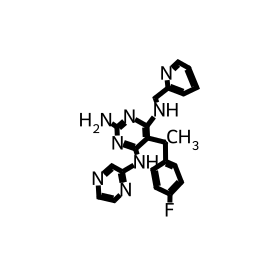 CC(c1ccc(F)cc1)c1c(NCc2ccccn2)nc(N)nc1Nc1cnccn1